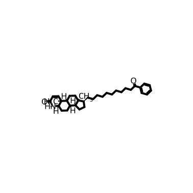 C[C@]12C=CC(=O)N[C@@H]1CC[C@@H]1[C@@H]2CC[C@]2(C)[C@@H](CCCCCCCCCCC(=O)c3ccccc3)CC[C@@H]12